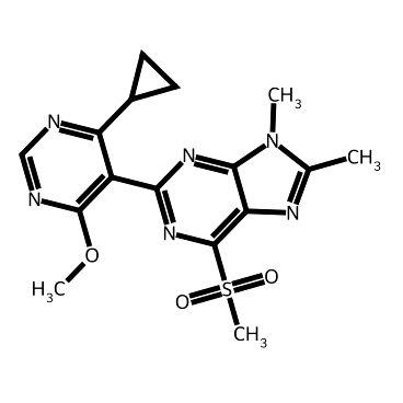 COc1ncnc(C2CC2)c1-c1nc(S(C)(=O)=O)c2nc(C)n(C)c2n1